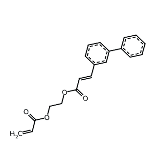 C=CC(=O)OCCOC(=O)C=Cc1cccc(-c2ccccc2)c1